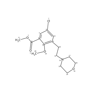 COC(=O)c1cc(Cl)cc(CCN2CCOCC2)c1OC